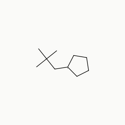 CC(C)(C)C[C]1CCCC1